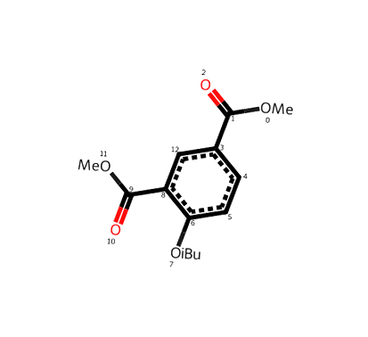 COC(=O)c1ccc(OCC(C)C)c(C(=O)OC)c1